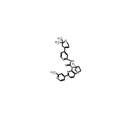 Cc1cc(-c2ccc3c(n2)N(C(=O)Nc2cc(C4=CCOC(C)(C)C4)ccn2)[C@H]2CCN3C2)ccn1